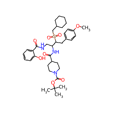 COc1ccc(CC(C(CNC(=O)c2ccccc2O)NC(=O)C2CCN(C(=O)OC(C)(C)C)CC2)S(=O)(=O)CC2CCCCC2)cc1